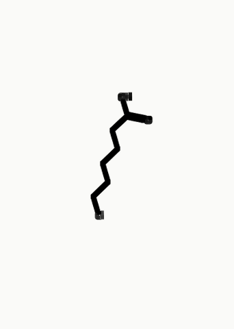 O=C(O)CCCCCCl